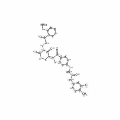 CNCc1ccccc1C(=O)OCN1C(=O)CCC(N2Cc3cc(CNC(=O)Nc4ccc(C)c(Cl)c4)ccc3C2=O)C1=O